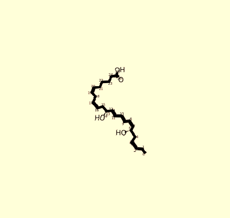 CC/C=C\C[C@H](O)\C=C/C=C/C=C/[C@H](O)C/C=C\C/C=C\CCCCC(=O)O